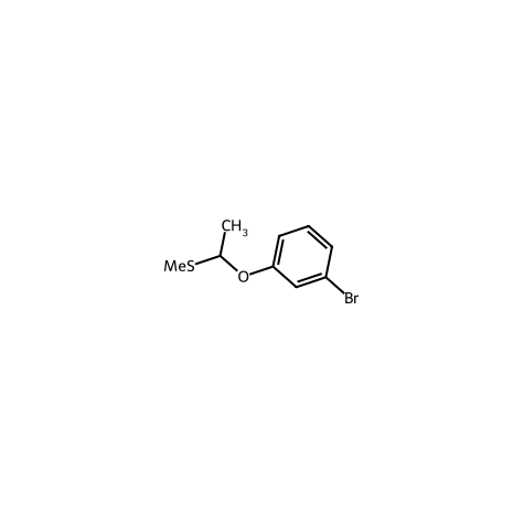 CSC(C)Oc1cccc(Br)c1